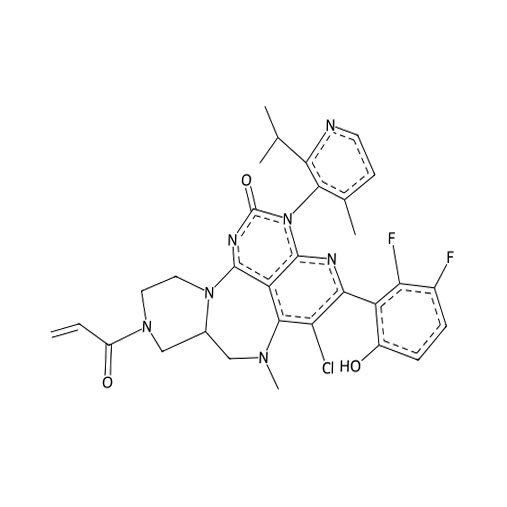 C=CC(=O)N1CCN2c3nc(=O)n(-c4c(C)ccnc4C(C)C)c4nc(-c5c(O)ccc(F)c5F)c(Cl)c(c34)N(C)CC2C1